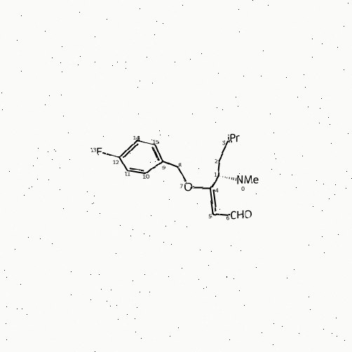 CN[C@@H](CC(C)C)/C(=C\C=O)OCc1ccc(F)cc1